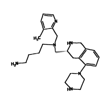 Cc1cccnc1CN(CCCCN)C[C@H]1Cc2c(cccc2N2CCNCC2)CN1